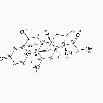 CC1C[C@H]2[C@@H]3CC(Cl)C4=CC(=O)C=C[C@]4(C)[C@@]3(F)C(O)C[C@]2(C)[C@@]1(O)C(=O)CO